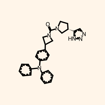 O=C(N1CC(c2ccc(N(c3ccccc3)c3ccccc3)cc2)C1)N1CC[C@H](c2cnn[nH]2)C1